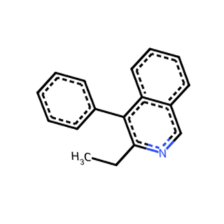 CCc1ncc2ccccc2c1-c1ccccc1